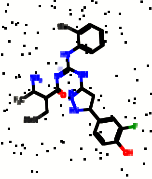 CNCC(C(=O)/N=C(/Nc1ccccc1C(C)(C)C)NC1CC(c2ccc(O)c(F)c2)NN1)C(N)C(F)(F)F